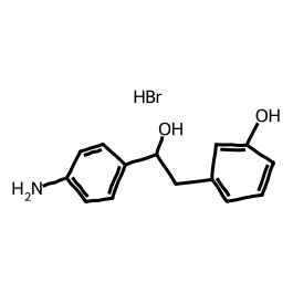 Br.Nc1ccc(C(O)Cc2cccc(O)c2)cc1